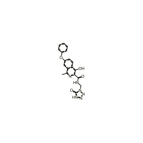 Cc1nc(C(=O)NCn2nn[nH]c2=O)c(O)c2ccc(Oc3ccccc3)cc12